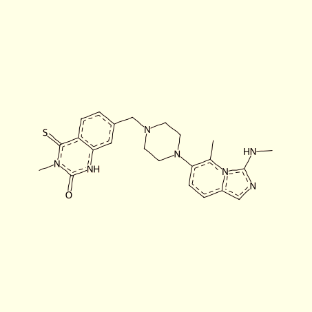 CNc1ncc2ccc(N3CCN(Cc4ccc5c(=S)n(C)c(=O)[nH]c5c4)CC3)c(C)n12